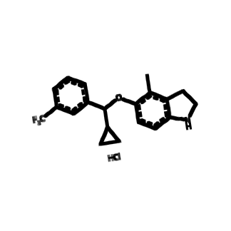 Cc1c(OC(c2cccc(C(F)(F)F)c2)C2CC2)ccc2c1CCN2.Cl